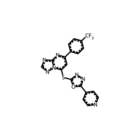 FC(F)(F)c1ccc(-c2cc(Sc3nnc(-c4ccncc4)o3)n3ncnc3n2)cc1